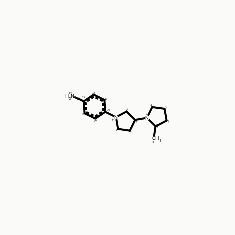 CC1CCCN1C1CCN(c2ccc(N)cc2)C1